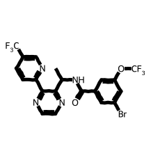 CC(NC(=O)c1cc(Br)cc(OC(F)(F)F)c1)c1nccnc1-c1ccc(C(F)(F)F)cn1